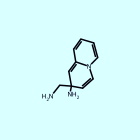 NCC1(N)C=CN2C=CC=CC2=C1